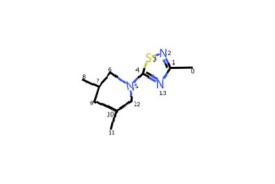 Cc1nsc(N2CC(C)CC(C)C2)n1